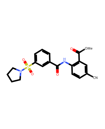 COC(=O)c1cc(C#N)ccc1NC(=O)c1cccc(S(=O)(=O)N2CCCC2)c1